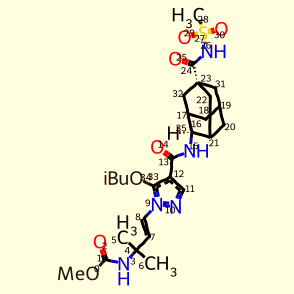 COC(=O)NC(C)(C)/C=C/n1ncc(C(=O)N[C@H]2C3CC4CC2C[C@](C(=O)NS(C)(=O)=O)(C4)C3)c1OCC(C)C